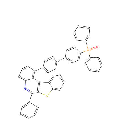 O=P(c1ccccc1)(c1ccccc1)c1ccc(-c2ccc(-c3cccc4nc(-c5ccccc5)c5sc6ccccc6c5c34)cc2)cc1